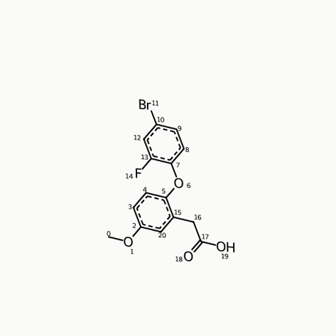 COc1ccc(Oc2ccc(Br)cc2F)c(CC(=O)O)c1